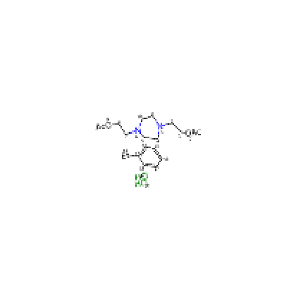 CC(=O)OCCN1CCN(CCOC(C)=O)CC1.CCc1ccccc1.Cl.Cl